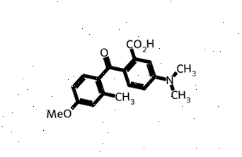 COc1ccc(C(=O)c2ccc(N(C)C)cc2C(=O)O)c(C)c1